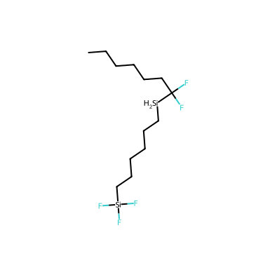 CCCCCCC(F)(F)[SiH2]CCCCCC[Si](F)(F)F